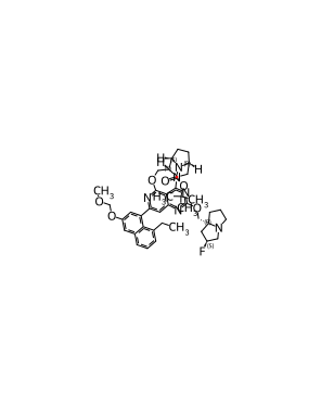 CCc1cccc2cc(OCOC)cc(-c3cc4nc(OC[C@]56CCCN5C[C@@H](F)C6)nc5c4c(n3)OC[C@@H]3[C@@H]4CC[C@H](CN53)N4C(=O)OC(C)(C)C)c12